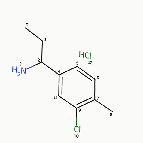 CCC(N)c1ccc(C)c(Cl)c1.Cl